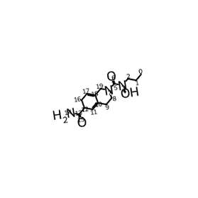 CCCN(O)C(=O)N1CCC2=CC(C(N)=O)CC=C2C1